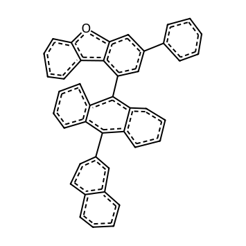 c1ccc(-c2cc(-c3c4ccccc4c(-c4ccc5ccccc5c4)c4ccccc34)c3c(c2)oc2ccccc23)cc1